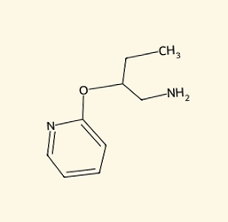 CCC(CN)Oc1ccccn1